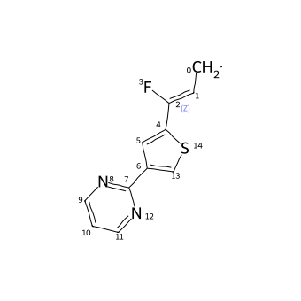 [CH2]/C=C(\F)c1cc(-c2ncccn2)cs1